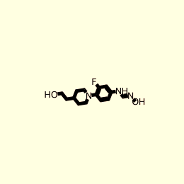 OCCC1CCN(c2ccc(N/C=N/O)cc2F)CC1